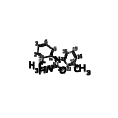 Cc1ccccc1-n1c(=N)oc2c(C)cccc21